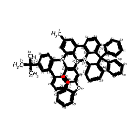 Cc1cc2c3c(c1)N(c1ccc(C(C)(C)C)cc1-c1ccccc1)c1cc4c(cc1B3N1c3ccccc3C(c3ccccc3)(c3ccccc3)c3cccc-2c31)oc1ccccc14